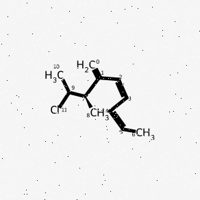 C=C(/C=C\C=C/C)[C@@H](C)C(C)Cl